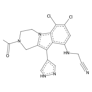 CC(=O)N1CCn2c(c(-c3cn[nH]c3)c3c(NCC#N)cc(Cl)c(Cl)c32)C1